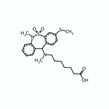 CSc1ccc2c(c1)S(=O)(=O)N(C)c1ccccc1C2N(C)CCCCCCC(=O)O